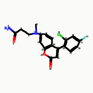 CN(CCC(N)=O)c1ccc2c(-c3ccc(F)cc3Cl)cc(=O)oc2c1